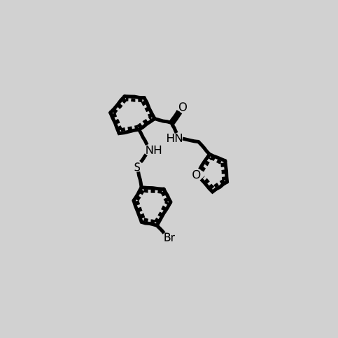 O=C(NCc1ccco1)c1ccccc1NSc1ccc(Br)cc1